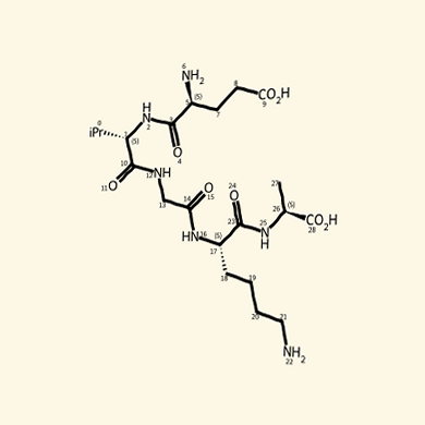 CC(C)[C@H](NC(=O)[C@@H](N)CCC(=O)O)C(=O)NCC(=O)N[C@@H](CCCCN)C(=O)N[C@@H](C)C(=O)O